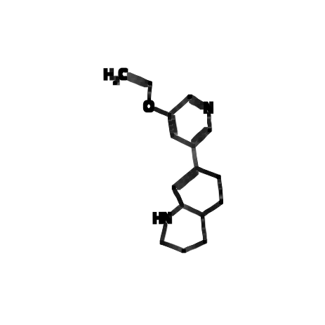 C=COc1cncc(C2=CC3NCCCC3CC2)c1